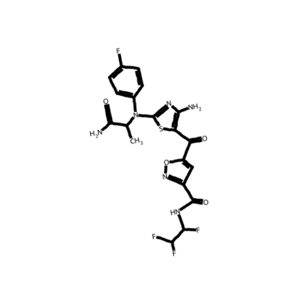 CC(C(N)=O)N(c1ccc(F)cc1)c1nc(N)c(C(=O)c2cc(C(=O)NC(F)C(F)F)no2)s1